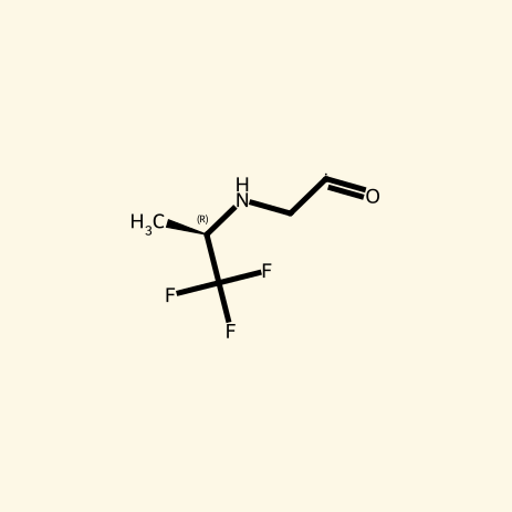 C[C@@H](NC[C]=O)C(F)(F)F